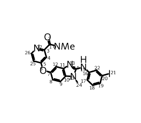 CNC(=O)c1cc(Oc2ccc3c(c2)nc(Nc2cccc(I)c2)n3C)ccn1